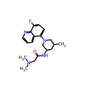 CC1CC(NC(=O)CN(C)C)CN(c2ccc(F)c3ncccc23)C1